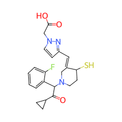 O=C(O)Cn1ccc(/C=C2\CN(C(C(=O)C3CC3)c3ccccc3F)CCC2S)n1